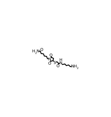 NCCCCCNC(=O)CSC1CC(=O)N(CCCCCC(N)=O)C1=O